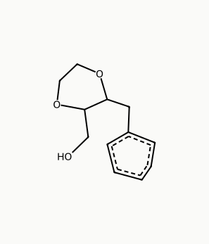 OCC1OCCOC1Cc1ccccc1